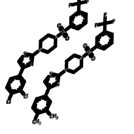 Cc1ccc(-c2csc(N3CCN(S(=O)(=O)c4cccc(C(F)(F)F)c4)CC3)n2)cc1C.O=S(=O)(c1cccc(C(F)(F)F)c1)N1CCN(c2nc(-c3ccc(Cl)c(Cl)c3)cs2)CC1